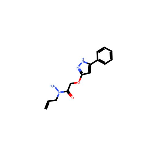 C=CCN(N)C(=O)COc1cc(-c2ccccc2)[nH]n1